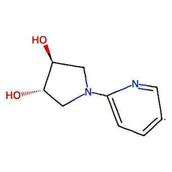 O[C@H]1CN(c2cc[c]cn2)C[C@@H]1O